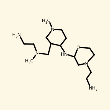 CN(CCN)CC1CN(C)CCC1NC1CN(CCN)CCO1